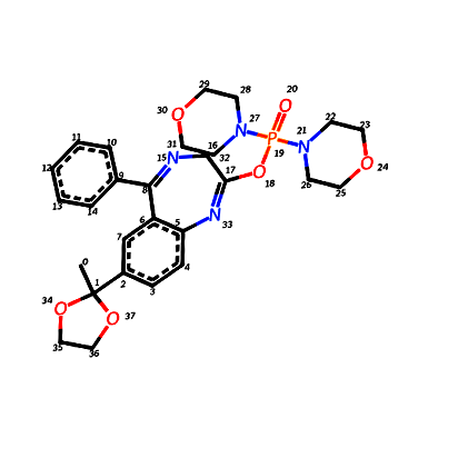 CC1(c2ccc3c(c2)C(c2ccccc2)=NCC(OP(=O)(N2CCOCC2)N2CCOCC2)=N3)OCCO1